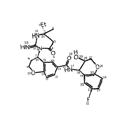 CC[C@]1(C)CC(=O)N([C@@H]2CCOc3ccc(C(=O)NC4c5cc(F)ccc5OCC4O)cc32)C(=N)N1